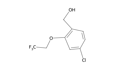 OCc1ccc(Cl)cc1OCC(F)(F)F